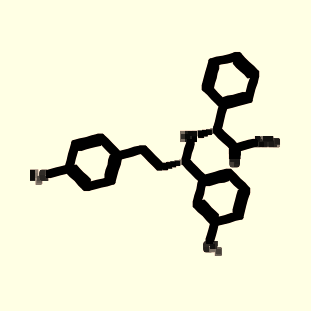 CNC(=O)[C@H](N[C@@H](CCc1ccc(C(F)(F)F)cc1)c1cccc(C(F)(F)F)c1)c1ccccc1